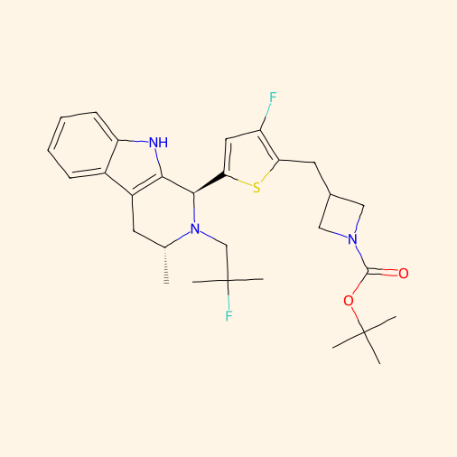 C[C@@H]1Cc2c([nH]c3ccccc23)[C@@H](c2cc(F)c(CC3CN(C(=O)OC(C)(C)C)C3)s2)N1CC(C)(C)F